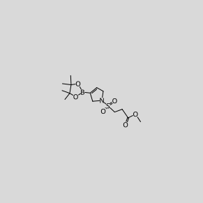 COC(=O)CCS(=O)(=O)N1CC=C(B2OC(C)(C)C(C)(C)O2)C1